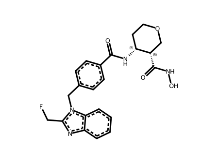 O=C(N[C@@H]1CCOC[C@@H]1C(=O)NO)c1ccc(Cn2c(CF)nc3ccccc32)cc1